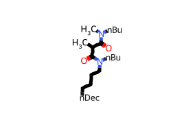 CCCCCCCCCCCCCCN(CCCC)C(=O)C(C)C(=O)N(C)CCCC